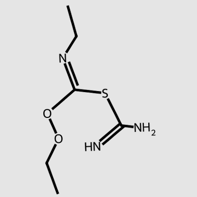 CCN=C(OOCC)SC(=N)N